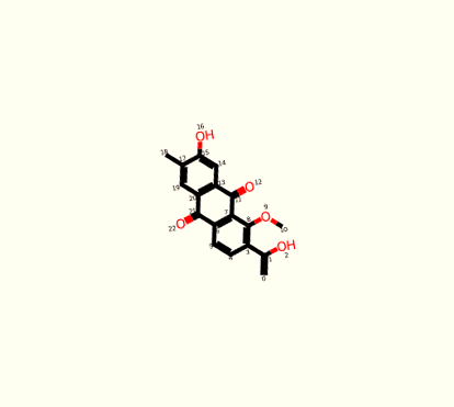 C=C(O)c1ccc2c(c1OC)C(=O)c1cc(O)c(C)cc1C2=O